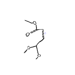 COC(=O)/C=C\C(OC)OC